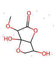 COC1C(=O)OC2C(O)COC12O